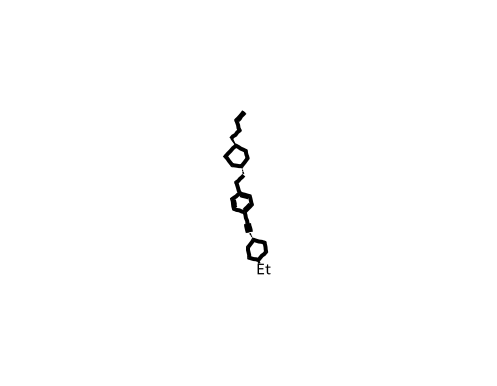 C=CCC[C@H]1CC[C@H](CCc2ccc(C#C[C@H]3CC[C@H](CC)CC3)cc2)CC1